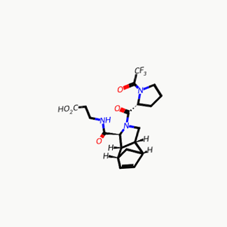 O=C(O)CCNC(=O)[C@@H]1[C@@H]2[C@H](CN1C(=O)[C@H]1CCCN1C(=O)C(F)(F)F)[C@@H]1C=C[C@H]2C1